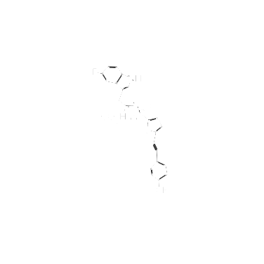 O=C(O)[C@@H](Cc1c[nH]c2ccc(F)cc12)NS(=O)(=O)c1ccc(C#Cc2ccc(C(F)(F)F)cc2)s1